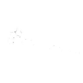 CCCCCCCCCCCCCCCCCCCCCCC(CC)(c1ccccc1)[PH](Cl)(Cl)CC